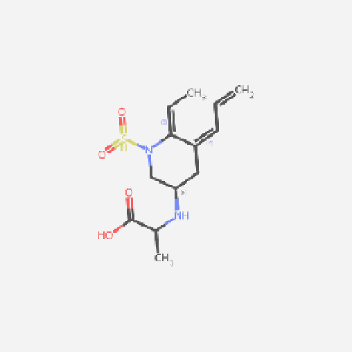 C=C/C=C1/C[C@@H](NC(C)C(=O)O)CN([SH](=O)=O)/C1=C/C